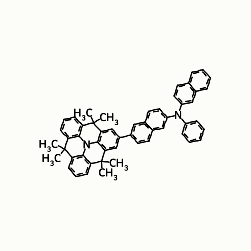 CC1(C)c2cccc3c2N2c4c1cccc4C(C)(C)c1cc(-c4ccc5cc(N(c6ccccc6)c6ccc7ccccc7c6)ccc5c4)cc(c12)C3(C)C